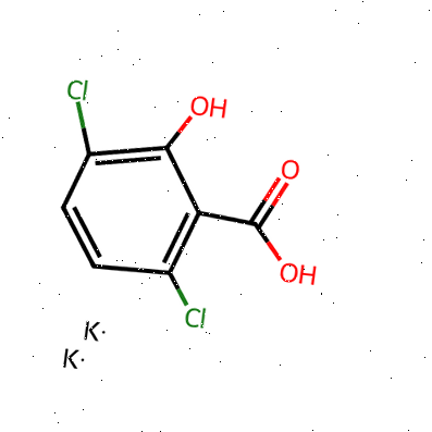 O=C(O)c1c(Cl)ccc(Cl)c1O.[K].[K]